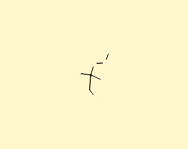 CSSC(C)(C)CS